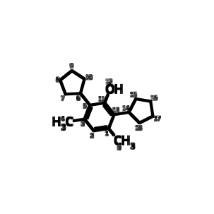 Cc1cc(C)c(C2CCCC2)c(O)c1C1CCCC1